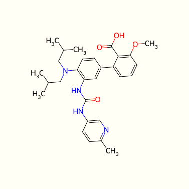 COc1cccc(-c2ccc(N(CC(C)C)CC(C)C)c(NC(=O)Nc3ccc(C)nc3)c2)c1C(=O)O